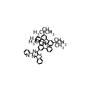 CC(C)(C)c1ccc2c(c1)c1cc(C(C)(C)C)cc(C(C)(C)C)c1n2-c1c(-c2ccccc2)cc(-c2nc(-c3ccccn3)nc3c2sc2ccccc23)cc1-c1ccccc1